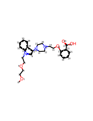 COCCOCCn1cc(N2CCN(CCOc3ccccc3C(=O)O)CC2)c2ccccc21